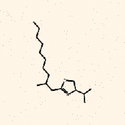 CCCCCCCCC(C)CC1=NC(C(C)C)CO1